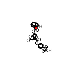 O=C1Oc2c(OC(=O)C34CC5CC(C3)C(=O)[C@H](C5)C4)c3oc2c1c3C(=O)Oc1ccc(S(=O)(=O)O)cc1